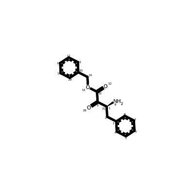 N[C@@H](Cc1ccccc1)C(=O)C(=O)OCc1ccccc1